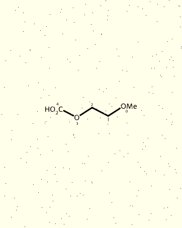 COCCOC(=O)O